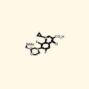 CNC[C@H]1CN(c2c(F)cc3c(=O)c(C(=O)O)cn(C4CC4)c3c2F)CCO1